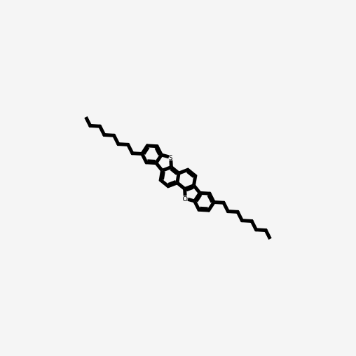 CCCCCCCCc1ccc2oc3c(ccc4c3ccc3c5cc(CCCCCCCC)ccc5sc34)c2c1